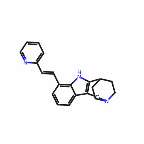 C(=Cc1cccc2c3c([nH]c12)C1CCN(CC1)C3)c1ccccn1